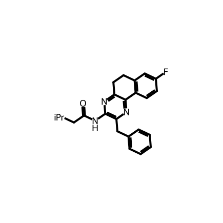 CC(C)CC(=O)Nc1nc2c(nc1Cc1ccccc1)-c1ccc(F)cc1CC2